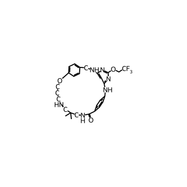 CC1(C)CNCCCOc2ccc(cc2)CNc2cc(nc(OCC(F)(F)F)n2)Nc2ccc(cc2)C(=O)NC1